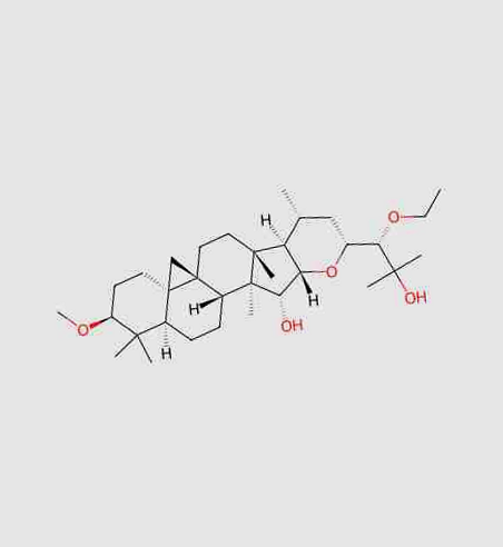 CCO[C@@H]([C@H]1C[C@@H](C)[C@H]2[C@H](O1)[C@H](O)[C@@]1(C)[C@@H]3CC[C@H]4C(C)(C)[C@@H](OC)CC[C@@]45C[C@@]35CC[C@]21C)C(C)(C)O